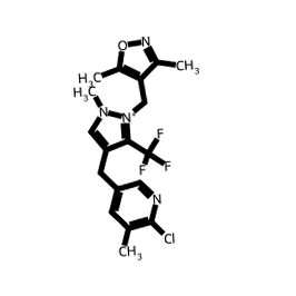 Cc1cc(Cc2cn(C)[n+](Cc3c(C)noc3C)c2C(F)(F)F)cnc1Cl